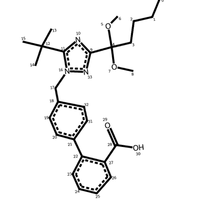 CCCCC(OC)(OC)c1nc(C(C)(C)C)n(Cc2ccc(-c3ccccc3C(=O)O)cc2)n1